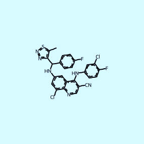 Cc1snnc1C(Nc1cc(Cl)c2ncc(C#N)c(Nc3ccc(F)c(Cl)c3)c2c1)c1ccc(F)cc1